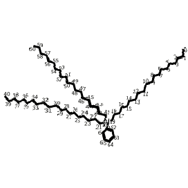 CCCCCCCCCCCCCCCCCCCC[N+](CCCCCCCCCCCCCCCCCCCC)(CCCCCCCCCCCCCCCCCCCC)c1ccccc1